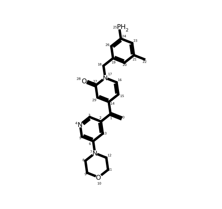 C=C(c1cncc(N2CCOCC2)c1)c1ccn(Cc2cc(C)cc(P)c2)c(=O)c1